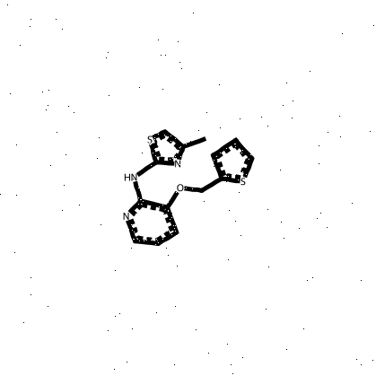 Cc1csc(Nc2ncccc2OCc2cccs2)n1